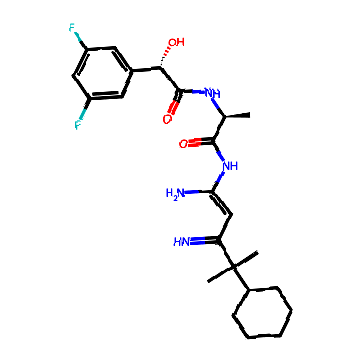 C[C@H](NC(=O)[C@@H](O)c1cc(F)cc(F)c1)C(=O)N/C(N)=C/C(=N)C(C)(C)C1CCCCC1